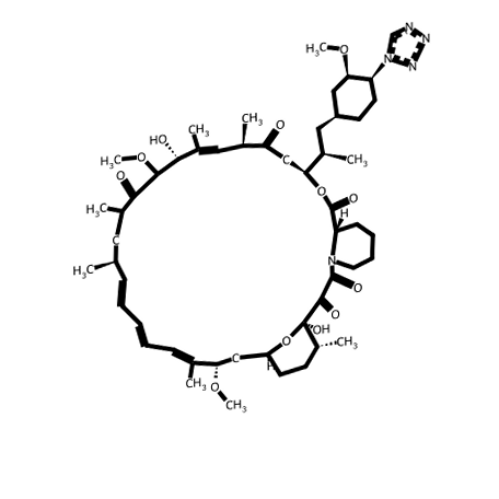 COC1C(=O)C(C)C[C@H](C)/C=C/C=C/C=C(\C)[C@@H](OC)C[C@@H]2CC[C@@H](C)[C@@](O)(O2)C(=O)C(=O)N2CCCC[C@H]2C(=O)O[C@H]([C@H](C)C[C@@H]2CC[C@H](n3cnnn3)[C@H](OC)C2)CC(=O)[C@H](C)/C=C(\C)[C@H]1O